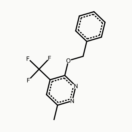 Cc1cc(C(F)(F)F)c(OCc2ccccc2)nn1